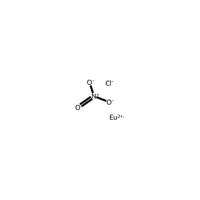 O=[N+]([O-])[O-].[Cl-].[Eu+2]